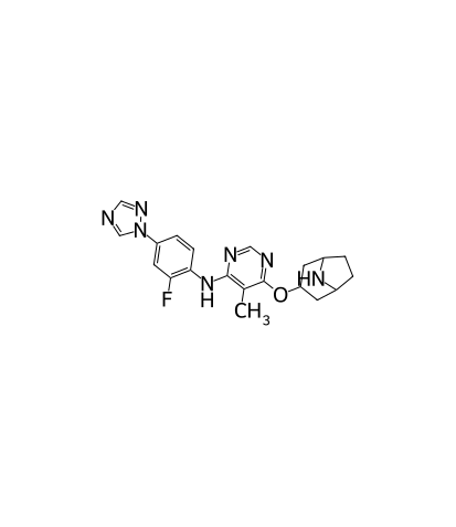 Cc1c(Nc2ccc(-n3cncn3)cc2F)ncnc1OC1CC2CCC(C1)N2